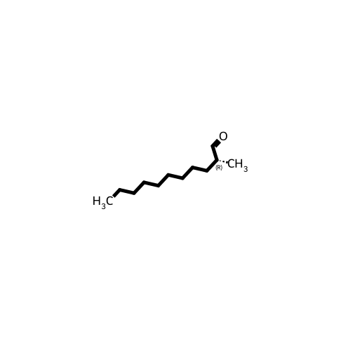 CCCCCCCCC[C@@H](C)C=O